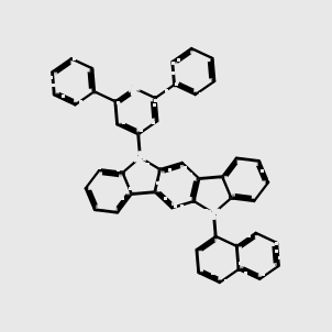 c1ccc(-c2cc(-n3c4ccccc4c4cc5c(cc43)c3ccccc3n5-c3cccc4ccccc34)cc(-c3ccccc3)n2)cc1